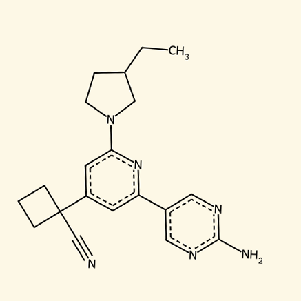 CCC1CCN(c2cc(C3(C#N)CCC3)cc(-c3cnc(N)nc3)n2)C1